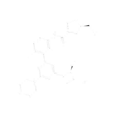 CO[C@@H]1CN(c2cc(-c3cc(NC(=O)N4CC[C@@H](CC(F)(F)F)C4)ccc3C)cc(N3CCOCC3)n2)[C@H]1C